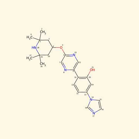 CC1(C)CC(Oc2cnc(-c3ccc(-n4ccnc4)cc3O)cn2)CC(C)(C)N1